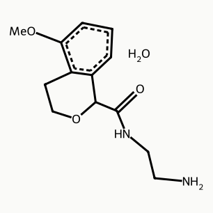 COc1cccc2c1CCOC2C(=O)NCCN.O